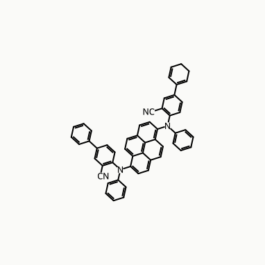 N#Cc1cc(C2=CCCC=C2)ccc1N(c1ccccc1)c1ccc2ccc3c(N(c4ccccc4)c4ccc(-c5ccccc5)cc4C#N)ccc4ccc1c2c43